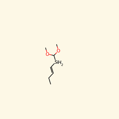 CCC=C[SiH2]C(OC)OC